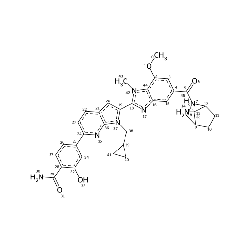 COc1cc(C(=O)N2CC3CCC2[C@@H]3N)cc2nc(-c3cc4ccc(-c5ccc(C(N)=O)c(O)c5)nc4n3CC3CC3)n(C)c12